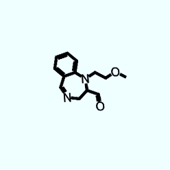 COCCN1c2ccccc2C=NCC1C=O